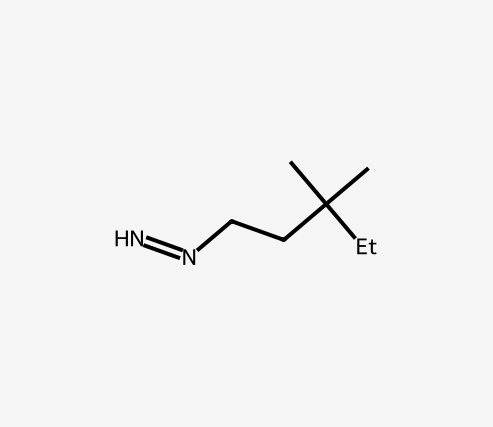 CCC(C)(C)CCN=N